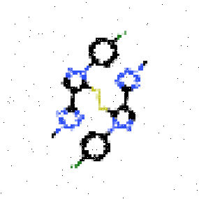 Cn1nnc(-c2cnn(-c3ccc(Cl)cc3)c2SSc2c(-c3nnn(C)n3)cnn2-c2ccc(Cl)cc2)n1